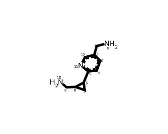 NCc1ccc(C2CC2CN)nc1